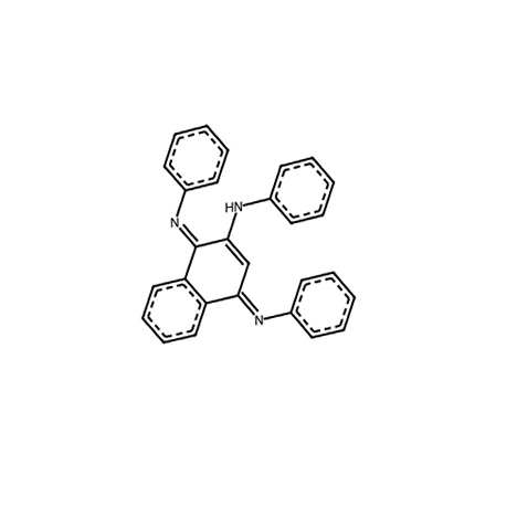 C1=C(Nc2ccccc2)C(=Nc2ccccc2)c2ccccc2C1=Nc1ccccc1